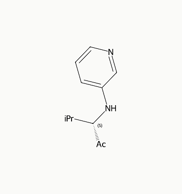 CC(=O)[C@@H](Nc1cccnc1)C(C)C